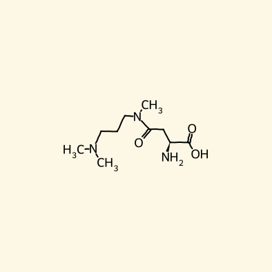 CN(C)CCCN(C)C(=O)C[C@H](N)C(=O)O